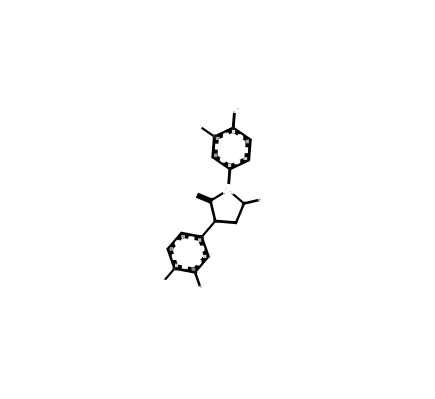 O=C1C(c2ccc(F)c(F)c2)CC(O)N1c1ccc(Br)c(F)c1